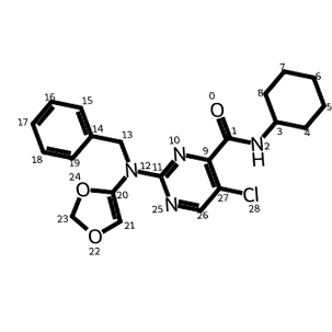 O=C(NC1CCCCC1)c1nc(N(Cc2ccccc2)C2=COCO2)ncc1Cl